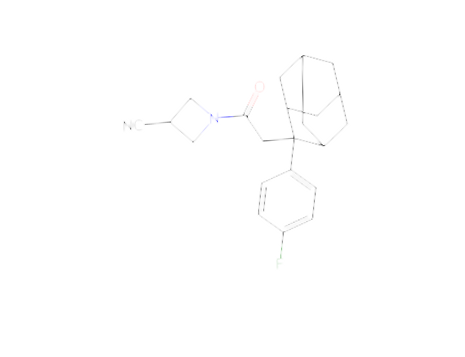 N#CC1CN(C(=O)CC2(c3ccc(F)cc3)C3CC4CC(C3)CC2C4)C1